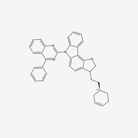 C1=CC[C@@H](CCC2COc3c2ccc2c3c3ccccc3n2-c2nc(-c3ccccc3)c3ccccc3n2)CC1